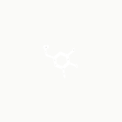 OCc1cc(I)c(I)c(I)c1